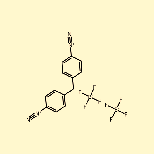 F[B-](F)(F)F.F[B-](F)(F)F.N#[N+]c1ccc(Cc2ccc([N+]#N)cc2)cc1